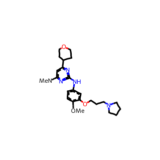 CNc1cc(C2CCOCC2)nc(Nc2ccc(OC)c(OCCCN3CCCC3)c2)n1